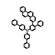 c1ccc(-c2ccc(N(c3ccc(-c4ccccc4)cc3)c3ccc(-c4ccccc4)c(-c4ccc5ccc6c7ccccc7ccc6c5c4)c3)cc2)cc1